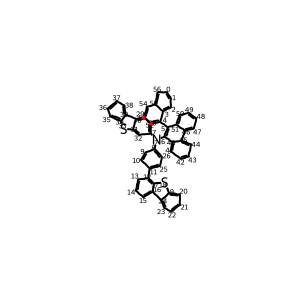 c1ccc2c(-c3c(N(c4ccc(-c5cccc6c5sc5ccccc56)cc4)c4ccc5c(c4)sc4ccccc45)c4ccccc4c4ccccc34)cccc2c1